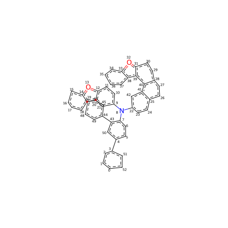 c1ccc(-c2ccc(N(c3ccc4oc5ccccc5c4c3)c3ccc4ccc5ccc6oc7ccccc7c6c5c4c3)c(-c3ccccc3)c2)cc1